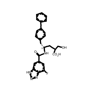 O=C(N[C@H](Cc1ccc(-c2ccccc2)cc1)CC(CO)C(=O)O)c1cc(F)c2nn[nH]c2c1